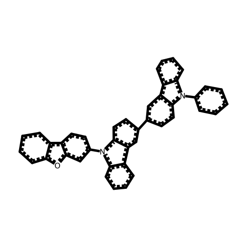 c1ccc(-n2c3ccccc3c3cc(-c4ccc5c(c4)c4ccccc4n5-c4ccc5c(c4)oc4ccccc45)ccc32)cc1